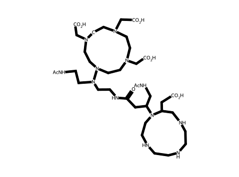 CC(=O)NCCN(CCNC(=O)CC(CNC(C)=O)N1CCNCCNCCNCC1CC(=O)O)N1CCN(CC(=O)O)CCN(CC(=O)O)CCN(CC(=O)O)CC1